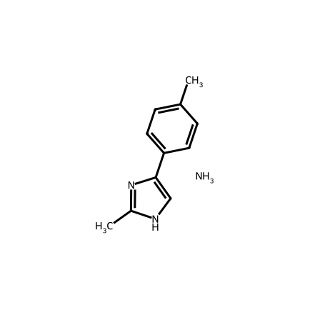 Cc1ccc(-c2c[nH]c(C)n2)cc1.N